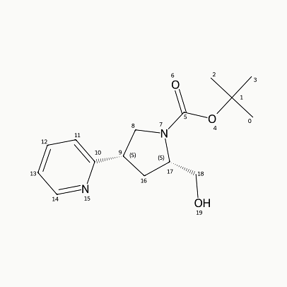 CC(C)(C)OC(=O)N1C[C@@H](c2ccccn2)C[C@H]1CO